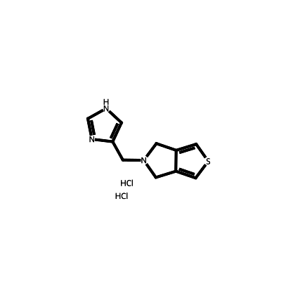 Cl.Cl.c1nc(CN2Cc3cscc3C2)c[nH]1